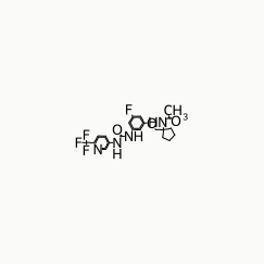 CC(=O)NC1(COc2cc(F)cc(NC(=O)Nc3ccc(C(F)(F)F)nc3)c2)CCCC1